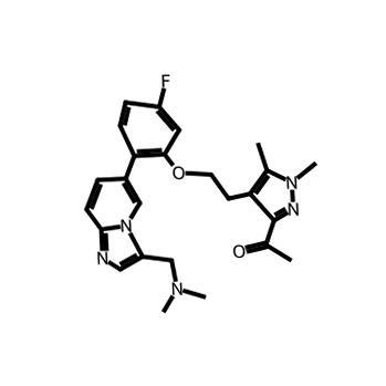 CC(=O)c1nn(C)c(C)c1CCOc1cc(F)ccc1-c1ccc2ncc(CN(C)C)n2c1